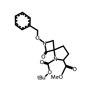 COC(=O)C1CCC2(CN(OCc3ccccc3)C2=O)N1C(=O)OC(C)(C)C